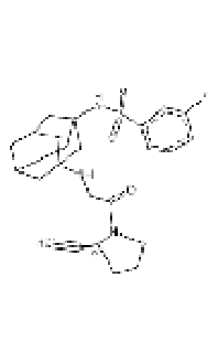 C#C[C@@H]1CCCN1C(=O)CNC12CC3CC(C1)CC(NS(=O)(=O)c1cccc(F)c1)(C3)C2